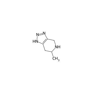 CC1Cc2[nH]nnc2CN1